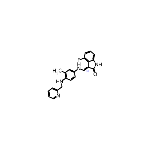 Cc1cc(N/C=C2/C(=O)Nc3cccc(F)c32)ccc1NCc1ccccn1